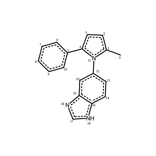 Cc1[c]cc(-c2ccccc2)n1-c1ccc2[nH]cnc2c1